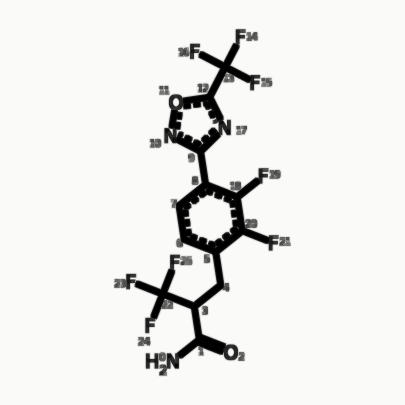 NC(=O)C(Cc1ccc(-c2noc(C(F)(F)F)n2)c(F)c1F)C(F)(F)F